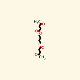 CC(=O)CCC(=O)OCCCCOC(=O)CCC(C)=O